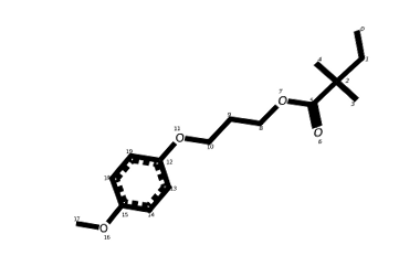 CCC(C)(C)C(=O)OCCCOc1ccc(OC)cc1